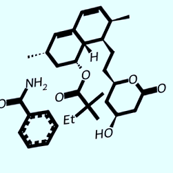 CCC(C)(C)C(=O)O[C@@H]1C[C@H](C)C=C2C=C[C@@H](C)[C@@H](CC[C@@H]3C[C@H](O)CC(=O)O3)[C@@H]21.NC(=O)c1ccccc1